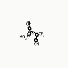 N#Cc1ccc(-c2cc(COCC3(c4ccc(-c5ccco5)cc4)CCN(C(=O)O)CC3)cc(C(F)(F)F)c2)cc1